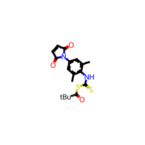 Cc1cc(N2C(=O)C=CC2=O)cc(C)c1NC(=S)SC(=O)C(C)(C)C